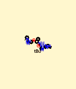 C[C@H]1CCCCN1c1nnc2ccc(O[C@@H]3CC[C@H](NC(=O)Nc4cc(C(C)(C)C)nn4-c4cnn(CCN5CCC5)c4)c4ccccc43)cn12